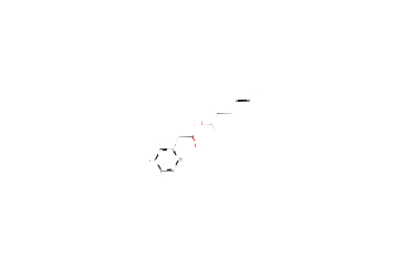 C/C=C/CCCOC(=O)Cc1ccccc1